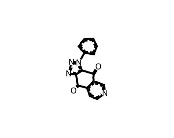 O=C1c2ccncc2C(=O)c2c1nnn2-c1ccccc1